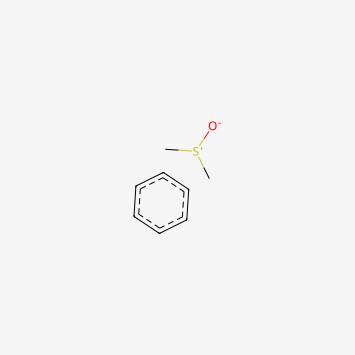 C[S+](C)[O-].c1ccccc1